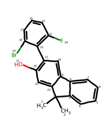 CC1(C)c2ccccc2-c2cc(-c3c(F)cccc3Br)c(O)cc21